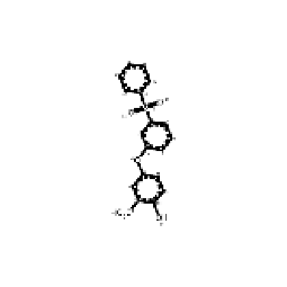 O=C(O)c1cc(Oc2cccc(S(=O)(=O)c3ccccc3)c2)ccc1O